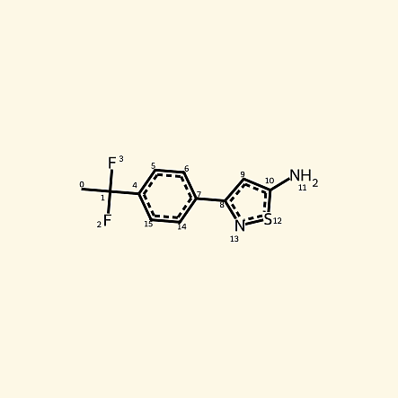 CC(F)(F)c1ccc(-c2cc(N)sn2)cc1